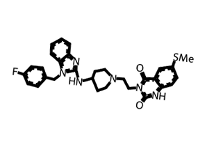 CSc1ccc2[nH]c(=O)n(CCN3CCC(Nc4nc5ccccc5n4Cc4ccc(F)cc4)CC3)c(=O)c2c1